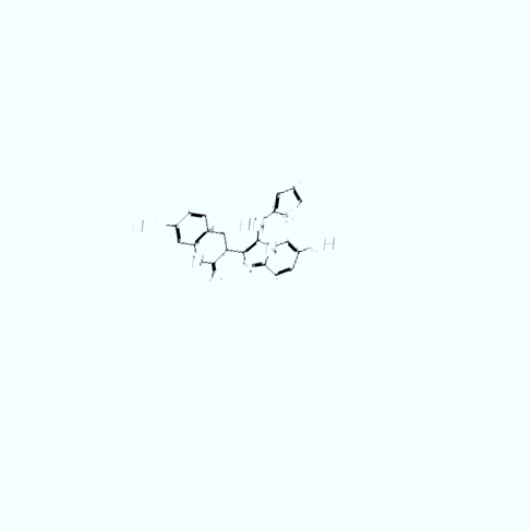 Cc1ccc2c(c1)NC(=O)C(c1nc3ccc(C)cn3c1Nc1cccs1)C2